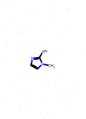 CC[CH]c1nccn1C